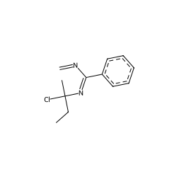 C=N/C(=N\C(C)(Cl)CC)c1ccccc1